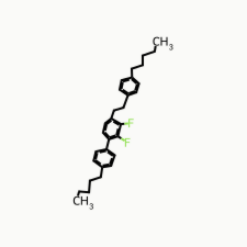 CCCCCc1ccc(CCc2ccc(-c3ccc(CCCCC)cc3)c(F)c2F)cc1